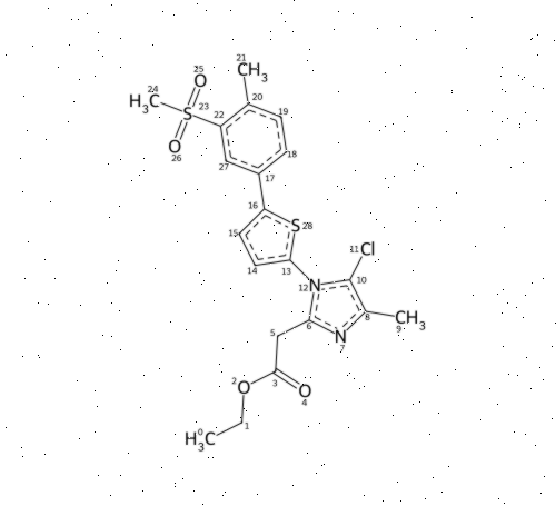 CCOC(=O)Cc1nc(C)c(Cl)n1-c1ccc(-c2ccc(C)c(S(C)(=O)=O)c2)s1